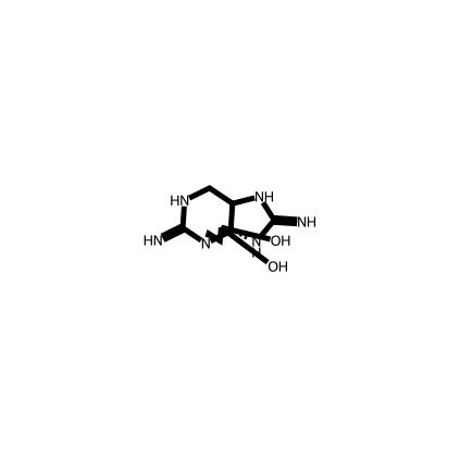 N=C1NC2CNC(=N)N3CCC(O)(O)[C@@]23N1